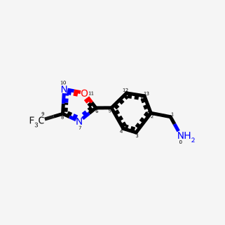 NCc1ccc(-c2nc(C(F)(F)F)no2)cc1